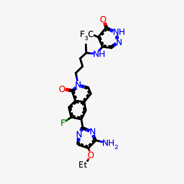 CCOc1cnc(-c2cc3ccn(CCCC(C)Nc4cn[nH]c(=O)c4C(F)(F)F)c(=O)c3cc2F)nc1N